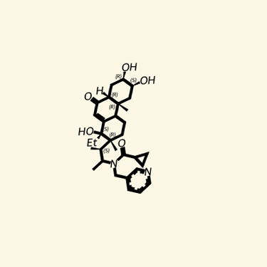 CC[C@@]1(O)C2=CC(=O)[C@@H]3C[C@@H](O)[C@@H](O)C[C@]3(C)C2CC[C@]1(C)[C@H](C)C(C)N(Cc1cccnc1)C(=O)C1CC1